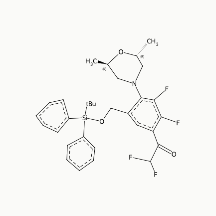 C[C@@H]1CN(c2c(CO[Si](c3ccccc3)(c3ccccc3)C(C)(C)C)cc(C(=O)C(F)F)c(F)c2F)C[C@@H](C)O1